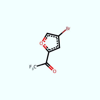 O=C(c1cc(Br)co1)C(F)(F)F